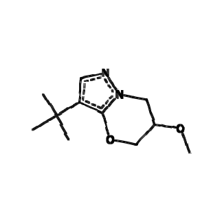 COC1COc2c(C(C)(C)C)cnn2C1